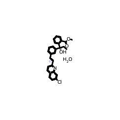 CC[C@@](O)(c1cccc(/C=C/c2ccc3ccc(Cl)cc3n2)c1)c1ccccc1C(=O)OC.O